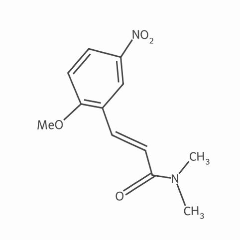 COc1ccc([N+](=O)[O-])cc1C=CC(=O)N(C)C